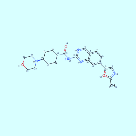 Cc1ncc(-c2ccc3cnc(NC(=O)[C@H]4CC[C@H](N5CCOCC5)CC4)nc3c2)o1